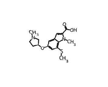 CSc1cc(OC2CCN(C)C2)cc2cc(C(=O)O)n(C)c12